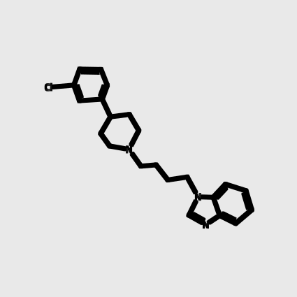 Clc1cccc(C2CCN(CCCCn3cnc4ccccc43)CC2)c1